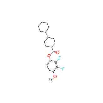 CCOc1ccc(OC(=O)C2CCC(C3CCCCC3)CC2)c(F)c1F